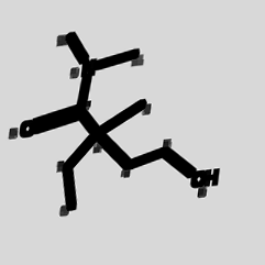 CCC(C)(CCO)C(=O)N(C)C